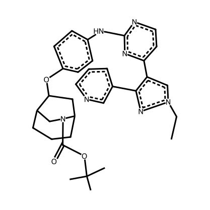 CCn1cc(-c2ccnc(Nc3ccc(OC4CC5CCCC4CN5C(=O)OC(C)(C)C)cc3)n2)c(-c2cccnc2)n1